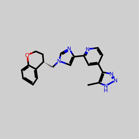 Cc1[nH]nnc1-c1ccnc(-c2cn(C[C@H]3CCOc4ccccc43)cn2)c1